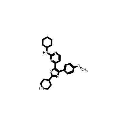 COc1ccc(-c2nc(C3CCNCC3)sc2-c2ccnc(NC3CCCCC3)n2)cc1